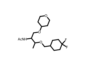 CC(=O)NC(COC1CCOCC1)C(C)OCC1CCC(F)(F)CC1